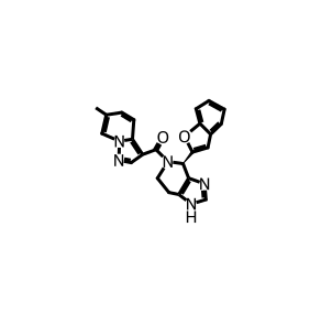 Cc1ccc2c(C(=O)N3CCc4[nH]cnc4[C@@H]3c3cc4ccccc4o3)cnn2c1